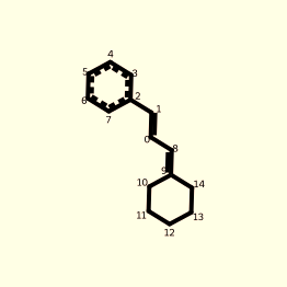 C(=Cc1ccccc1)C=C1CCCCC1